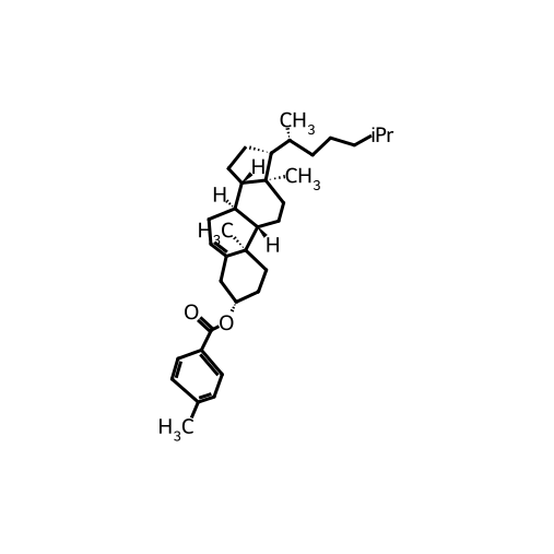 Cc1ccc(C(=O)O[C@H]2CC[C@@]3(C)C(=CC[C@H]4[C@@H]5CC[C@H]([C@H](C)CCCC(C)C)[C@@]5(C)CC[C@@H]43)C2)cc1